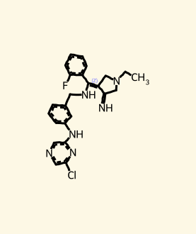 CCN1CC(=N)/C(=C(\NCc2cccc(Nc3cncc(Cl)n3)c2)c2ccccc2F)C1